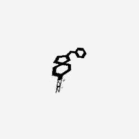 [N-]=[N+]=C1CCC2(CC1)CCC(Cc1ccccc1)C2